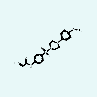 C=CC(=O)Nc1ccc(S(=O)(=O)N2CCN(c3ccc(OC)cc3)CC2)cc1